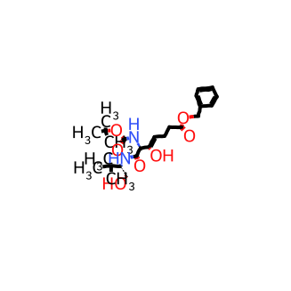 CC(C)(C)OC(=O)N[C@H](C(=O)N[C@H](CO)C(C)(C)C)C(O)=CCCC(=O)OCc1ccccc1